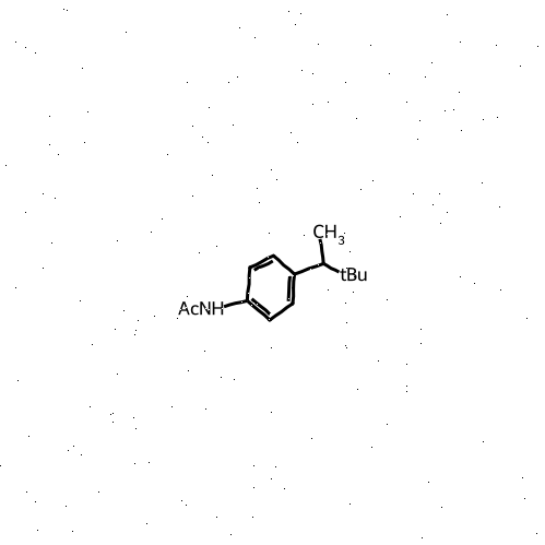 CC(=O)Nc1ccc(C(C)C(C)(C)C)cc1